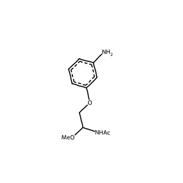 COC(COc1cccc(N)c1)NC(C)=O